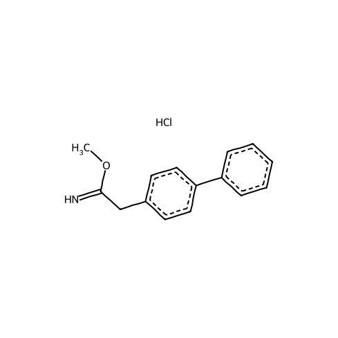 COC(=N)Cc1ccc(-c2ccccc2)cc1.Cl